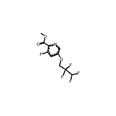 COC(=O)c1ncc(OCC(F)(F)C(F)F)cc1F